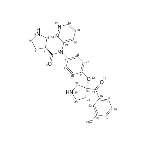 O=C([C@H]1CCNC1)N(c1ccc(O[C@]2(C(=O)c3cccc(F)c3)CCNC2)cc1)c1cccnn1